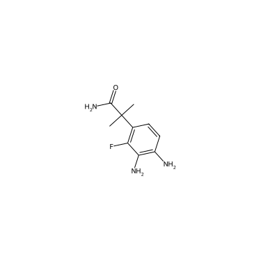 CC(C)(C(N)=O)c1ccc(N)c(N)c1F